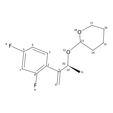 C=C(c1ccc(F)cc1F)[C@H](C)OC1CCCCO1